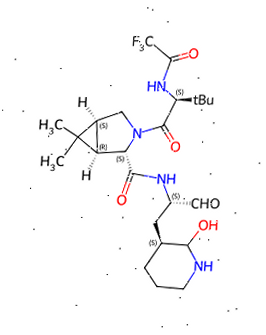 CC(C)(C)[C@H](NC(=O)C(F)(F)F)C(=O)N1C[C@H]2[C@@H]([C@H]1C(=O)N[C@H](C=O)C[C@@H]1CCCNC1O)C2(C)C